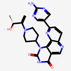 C=C([C@@H](C)O)N1CCC(n2c(=O)[nH]c(=O)c3cnc4ccc(-c5cnc(N)nc5)nc4c32)CC1